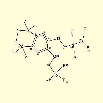 CC1(C)CCC(C)(C)c2cc(OCC(F)(F)C(F)F)c(OCC(F)(F)F)cc21